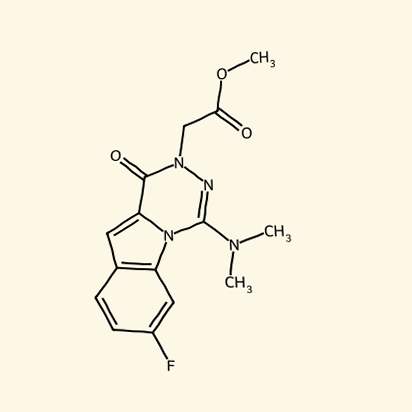 COC(=O)Cn1nc(N(C)C)n2c(cc3ccc(F)cc32)c1=O